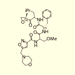 COCC(NC(=O)c1cc(CN2CCOCC2)on1)C(=O)N[C@@H](Cc1ccccc1)C(=O)NC(CC(C)C)C(=O)[C@@]1(C)CO1